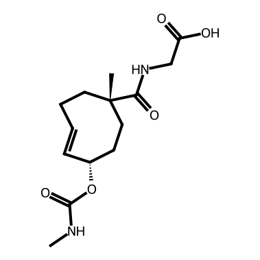 CNC(=O)O[C@@H]1/C=C/CC[C@](C)(C(=O)NCC(=O)O)CC1